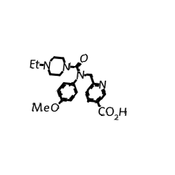 CCN1CCN(C(=O)N(Cc2ccc(C(=O)O)cn2)c2ccc(OC)cc2)CC1